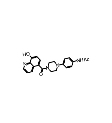 CC(=O)Nc1ccc(N2CCN(C(=O)c3ccc(O)c4ncccc34)CC2)cc1